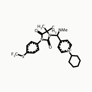 CNC(c1cc[n+](C2CCCCC2)cc1)N1C(=O)N(c2ccc(SC(F)(F)F)cc2)C(=O)C1(C)C